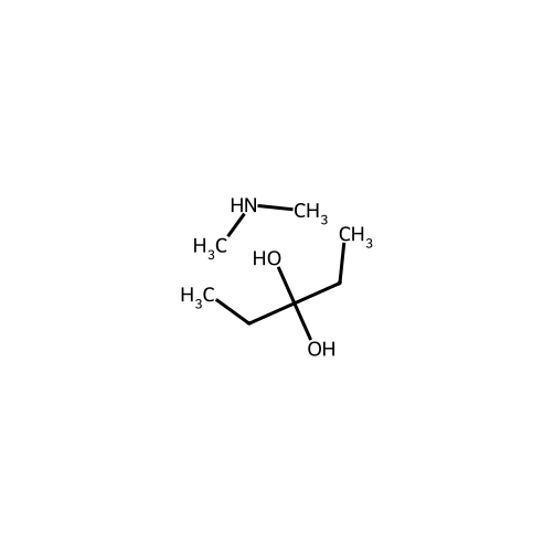 CCC(O)(O)CC.CNC